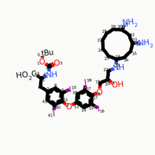 CC(C)(C)OC(=O)NC(Cc1cc(I)c(Oc2cc(I)c(OCC(O)CNC3CCCCCC(N)CC(N)CC3)c(I)c2)c(I)c1)C(=O)O